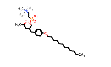 CCCCCCCCCCCCOc1ccc(CC(COP(=O)(O)CC[N+](C)(C)C)CC(C)=O)cc1